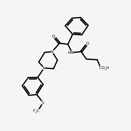 O=C(O)CCC(=O)NC(C(=O)N1CCN(c2cccc(SC(F)(F)F)c2)CC1)c1ccccc1